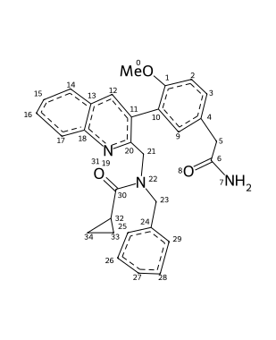 COc1ccc(CC(N)=O)cc1-c1cc2ccccc2nc1CN(Cc1ccccc1)C(=O)C1CC1